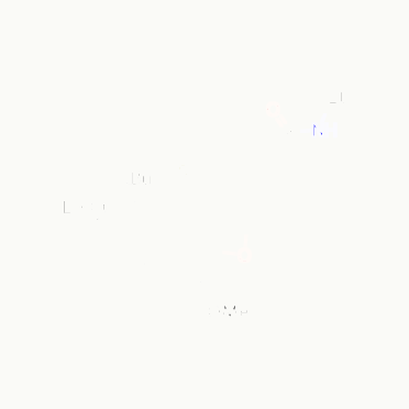 CCNC(=O)c1ccc(Oc2cc(CC(=O)OCC)ccc2OC)c(CSC(C)(C)C)c1